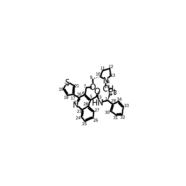 CC[C@H](NC(=O)c1c(COC[C@@H]2CCCN2C)c(-c2ccsc2)nc2ccccc12)c1ccccc1